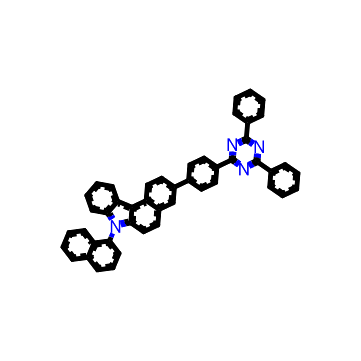 c1ccc(-c2nc(-c3ccccc3)nc(-c3ccc(-c4ccc5c(ccc6c5c5ccccc5n6-c5cccc6ccccc56)c4)cc3)n2)cc1